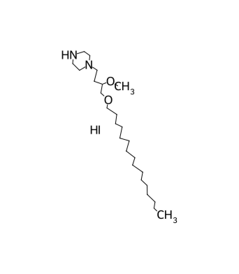 CCCCCCCCCCCCCCCCOCC(CCN1CCNCC1)OC.I